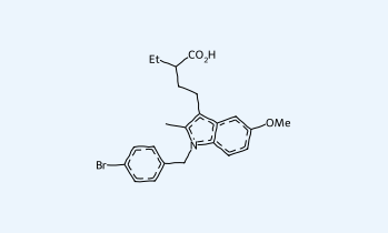 CCC(CCc1c(C)n(Cc2ccc(Br)cc2)c2ccc(OC)cc12)C(=O)O